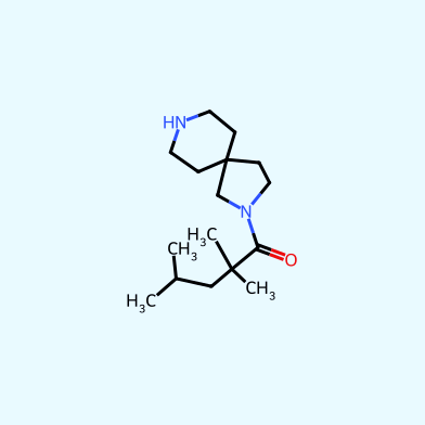 CC(C)CC(C)(C)C(=O)N1CCC2(CCNCC2)C1